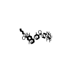 C=CCCNC(=O)c1ccc2c(N3CC[C@H](C(=O)N4CCn5c(nnc5C(F)(F)F)C4)[C@H](C)C3)ccnc2c1